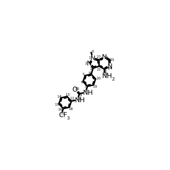 Cn1nc(-c2ccc(NC(=O)Nc3cccc(C(F)(F)F)c3)cc2)c2c(N)ncnc21